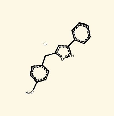 COc1ccc(Cc2cc(-c3ccccc3)[te][o+]2)cc1.[Cl-]